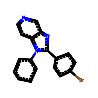 Brc1ccc(-c2nc3cnccc3n2-c2ccccc2)cc1